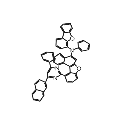 c1ccc(-c2cc(-c3ccc4ccccc4c3)nc(-c3cccc4oc5cc(N(c6ccccc6)c6cccc7c6oc6ccccc67)c6ccccc6c5c34)n2)cc1